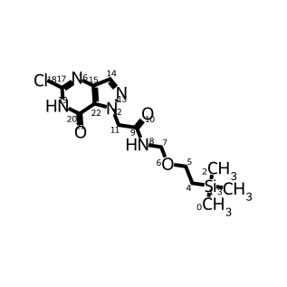 C[Si](C)(C)CCOCNC(=O)Cn1ncc2nc(Cl)[nH]c(=O)c21